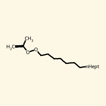 C=C(C)OOCCCCCCCCCCCCCC